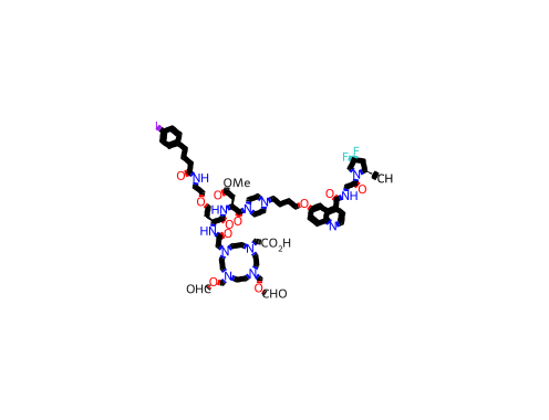 C#C[C@H]1CC(F)(F)CN1C(=O)CNC(=O)c1ccnc2ccc(OCCCCN3CCN(C(=O)[C@H](CC(=O)OC)NC(=O)[C@H](CCOCCNC(=O)CCCc4ccc(I)cc4)NC(=O)CN4CCN(COC=O)CCN(COC=O)CCN(CC(=O)O)CC4)CC3)cc12